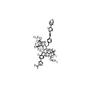 COC(=O)NC(C(=O)N[C@@H](Cc1ccc(C#Cc2ccc(N3CC4CCC(C3)O4)nc2)cc1)[C@@H](O)CN(Cc1c(F)cc(-c2cnn(C(F)F)c2)cc1F)NC(=O)[C@@H](NC(=O)OC)C(C)(C)C(F)(F)F)C(C)(C)C(F)(F)F